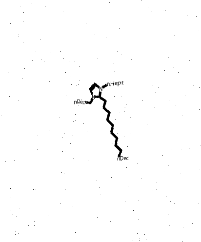 CCCCCCCCCCCCCCCCCCCC1N(CCCCCCC)C=CN1CCCCCCCCCCC